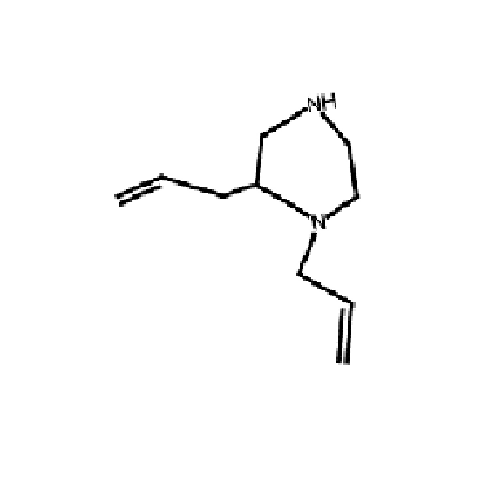 C=CCC1CNCCN1CC=C